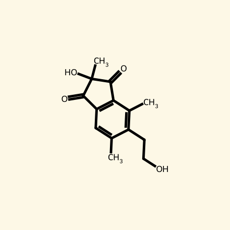 Cc1cc2c(c(C)c1CCO)C(=O)C(C)(O)C2=O